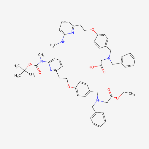 CCOC(=O)CN(Cc1ccccc1)Cc1ccc(OCCc2cccc(N(C)C(=O)OC(C)(C)C)n2)cc1.CNc1cccc(CCOc2ccc(CN(CC(=O)O)Cc3ccccc3)cc2)n1